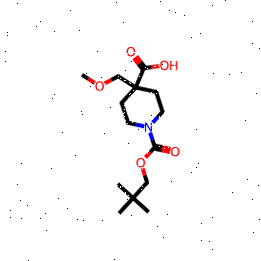 COCC1(C(=O)O)CCN(C(=O)OCC(C)(C)C)CC1